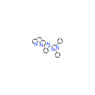 c1ccc(-c2cc(-c3nc4cc5ccc6cccnc6c5nc4c4ccccc34)nc(-c3ccccc3)n2)cc1